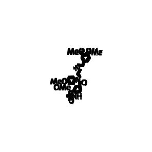 COc1ccc(CCN(C)CCCN(C(=O)c2ccc(NS(C)(=O)=O)cc2)c2ccc(OC)c(OC)c2)cc1OC